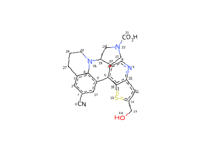 N#Cc1cc2c(c(-c3ccnc4cc(CO)sc34)c1)N(C1CCN(C(=O)O)C1)CCC2